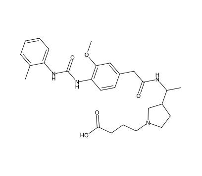 COc1cc(CC(=O)NC(C)C2CCN(CCCC(=O)O)C2)ccc1NC(=O)Nc1ccccc1C